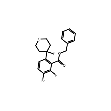 O=C(OCc1ccccc1)c1c(C2(F)CCOCC2)ccc(Br)c1F